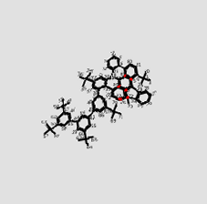 CC(C)(C)c1ccc(-c2ccccc2N(c2ccc3c(c2)C(C)(C)c2ccccc2-3)c2cc(C(C)(C)C)cc(-c3cc(-c4cc(-c5cc(C(C)(C)C)cc(C(C)(C)C)c5)cc(C(C)(C)C)c4)cc(C(C)(C)C)c3)c2-c2ccccc2)cc1